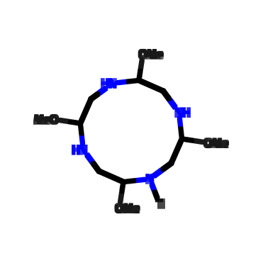 COC1CNC(OC)C[N]([Ti])C(OC)CNC(OC)CN1